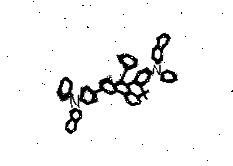 CC1(C)c2cc(N(c3ccccc3)c3ccc4ccccc4c3)ccc2-c2c(-c3ccccc3)c3ccc(-c4ccc(N(c5ccccc5)c5ccc6ccccc6c5)cc4)cc3c3cccc1c23